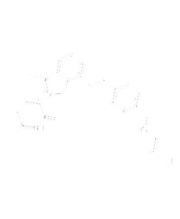 O=C1CCC(N2Cc3c(OCc4ccc(CNCCO)cc4)cccc3C2=O)C(=O)N1